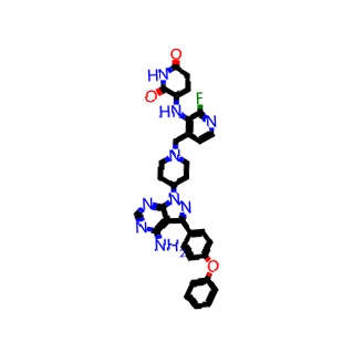 Nc1ncnc2c1c(-c1ccc(Oc3ccccc3)cc1)nn2C1CCN(Cc2ccnc(F)c2NC2CCC(=O)NC2=O)CC1